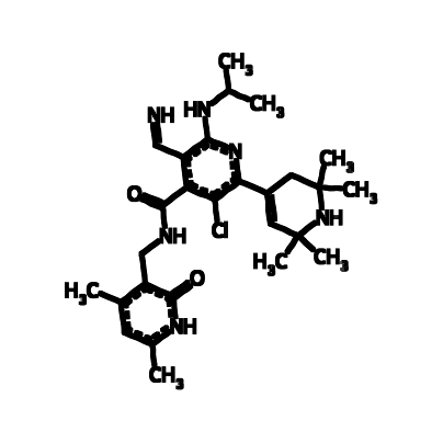 Cc1cc(C)c(CNC(=O)c2c(Cl)c(C3=CC(C)(C)NC(C)(C)C3)nc(NC(C)C)c2C=N)c(=O)[nH]1